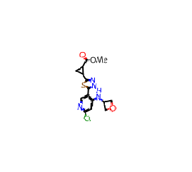 COC(=O)C1CC1c1nnc(-c2cnc(Cl)cc2NC2COC2)s1